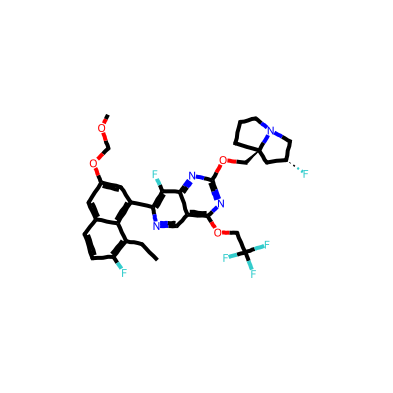 CCc1c(F)ccc2cc(OCOC)cc(-c3ncc4c(OCC(F)(F)F)nc(OC[C@@]56CCCN5C[C@H](F)C6)nc4c3F)c12